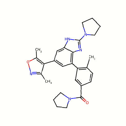 Cc1ccc(C(=O)N2CCCC2)cc1-c1cc(-c2c(C)noc2C)cc2[nH]c(N3CCCC3)nc12